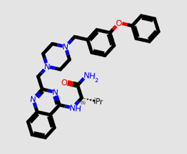 CC(C)[C@H](Nc1nc(CN2CCN(Cc3cccc(Oc4ccccc4)c3)CC2)nc2ccccc12)C(N)=O